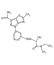 CCN(C)C(=O)C(O)C#Cc1cccc(-n2nc(C(N)=O)c3sc(C)nc32)c1